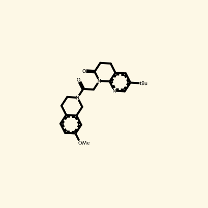 COc1ccc2c(c1)CN(C(=O)CN1C(=O)CCc3cc(C(C)(C)C)cnc31)CC2